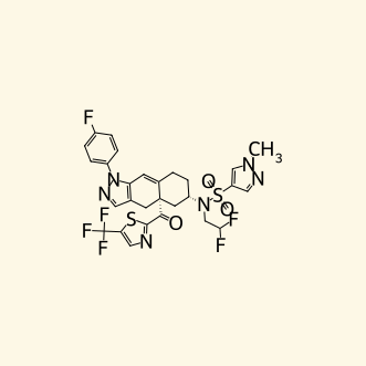 Cn1cc(S(=O)(=O)N(CC(F)F)[C@H]2CCC3=Cc4c(cnn4-c4ccc(F)cc4)C[C@]3(C(=O)c3ncc(C(F)(F)F)s3)C2)cn1